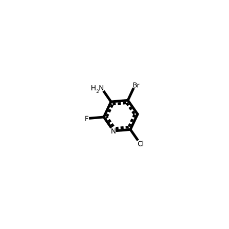 Nc1c(Br)cc(Cl)nc1F